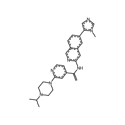 C=C(Nc1cc2cc(-c3cncn3C)ccc2cn1)c1ccnc(N2CCN(C(C)C)CC2)c1